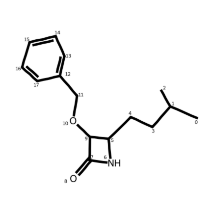 CC(C)CCC1NC(=O)C1OCc1ccccc1